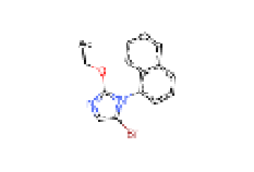 CC(=O)COc1ncc(Br)n1-c1cccc2ccccc12